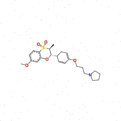 COc1ccc2c(c1)O[C@@H](C1C=CC(OCCCN3CCCC3)=CC1)[C@H](C)S2(=O)=O